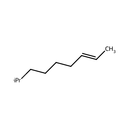 CC=CCCCC[C](C)C